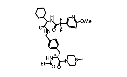 CCC(=O)N[C@H](Cc1ccc(CNC(=O)C(NC(=O)C(F)(F)c2ccc(OC)nc2)C2CCCCC2)cc1)C(=O)N1CCN(C)CC1